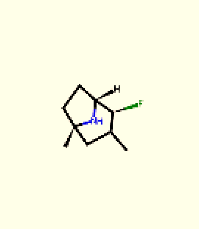 CC1C[C@]2(C)CC[C@@H](N2)[C@H]1F